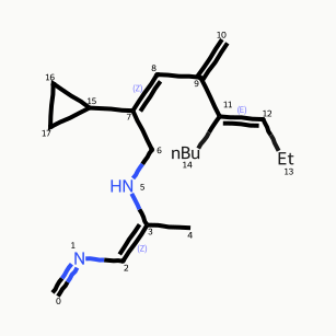 C=N/C=C(/C)NC/C(=C\C(=C)/C(=C/CC)CCCC)C1CC1